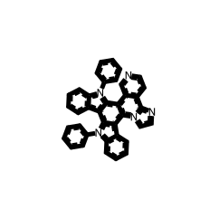 c1ccc(-n2c3ccccc3c3c2c2c4cnccc4c4nccn4c2c2c4ccccc4n(-c4ccccc4)c32)cc1